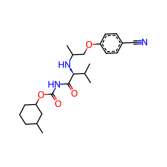 CC1CCCC(OC(=O)NC(=O)[C@@H](NC(C)COc2ccc(C#N)cc2)C(C)C)C1